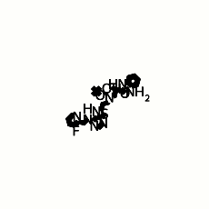 CC(CN(CCc1nc2c(NCc3ncccc3F)ncnc2s1)C(O)OC(C)(C)C)C(=O)Nc1ccccc1N